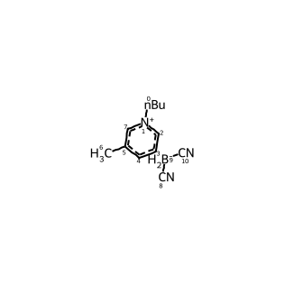 CCCC[n+]1cccc(C)c1.N#C[BH2-]C#N